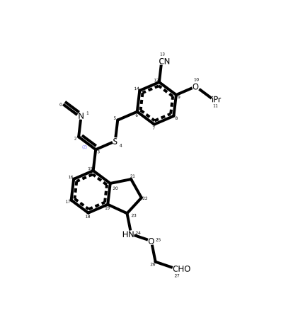 C=N/C=C(\SCc1ccc(OC(C)C)c(C#N)c1)c1cccc2c1CCC2NOCC=O